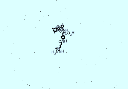 Cc1cc(C)cc(S(=O)(=O)N2CCC[C@H]2C(=O)N[C@@H](Cc2ccc(NC(=O)CCCNC(=N)N)cc2)C(=O)O)c1